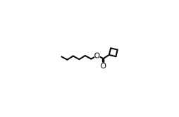 CCCCCCOC(=O)C1CCC1